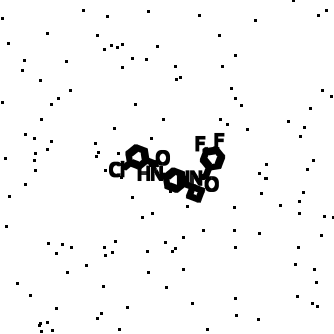 O=C(Nc1ccc(C2(NC(=O)c3ccc(F)c(F)c3)CCC2)cc1)c1cccc(Cl)c1